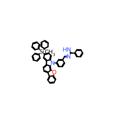 CC1([Si](c2ccccc2)(c2ccccc2)c2ccc3c(c2)c2ccc4c5ccccc5oc4c2n3-c2cccc(/C=N/C(=N)c3ccccc3)c2)C=CC=CC1